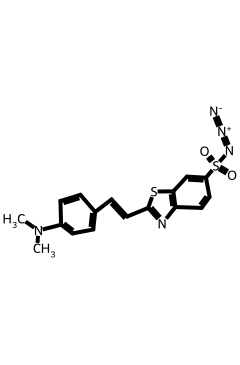 CN(C)c1ccc(C=Cc2nc3ccc(S(=O)(=O)N=[N+]=[N-])cc3s2)cc1